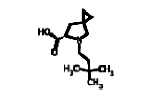 CC(C)(C)CCN1CC2(CC2)C[C@H]1C(=O)O